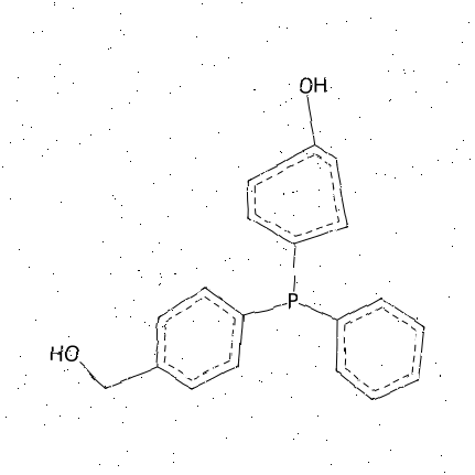 OCc1ccc(P(c2ccccc2)c2ccc(O)cc2)cc1